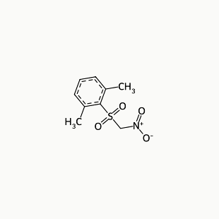 Cc1cccc(C)c1S(=O)(=O)C[N+](=O)[O-]